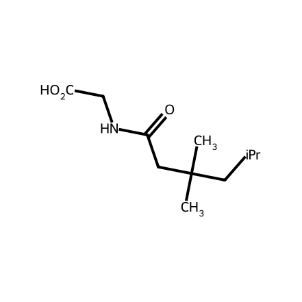 CC(C)CC(C)(C)CC(=O)NCC(=O)O